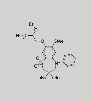 CCCCC1(CCCC)CN(c2ccccc2)c2cc(SC)c(OCC(OCC)C(=O)O)cc2S(=O)(=O)C1